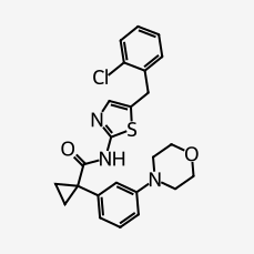 O=C(Nc1ncc(Cc2ccccc2Cl)s1)C1(c2cccc(N3CCOCC3)c2)CC1